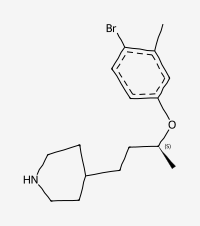 Cc1cc(O[C@@H](C)CCC2CCNCC2)ccc1Br